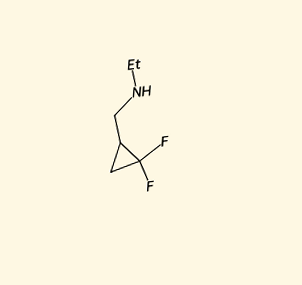 CCNCC1CC1(F)F